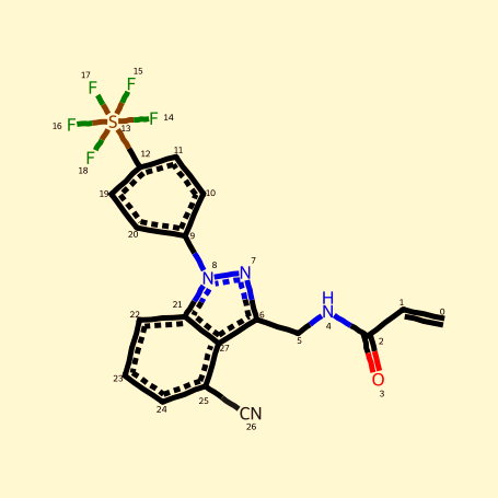 C=CC(=O)NCc1nn(-c2ccc(S(F)(F)(F)(F)F)cc2)c2cccc(C#N)c12